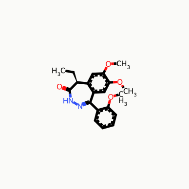 CC[C@@H]1C(=O)NN=C(c2ccccc2OC)c2cc(OC)c(OC)cc21